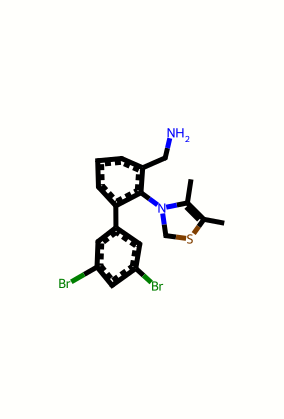 CC1=C(C)N(c2c(CN)cccc2-c2cc(Br)cc(Br)c2)CS1